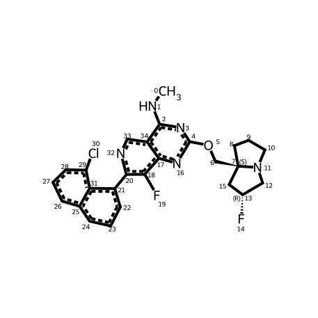 CNc1nc(OC[C@@]23CCCN2C[C@H](F)C3)nc2c(F)c(-c3cccc4cccc(Cl)c34)ncc12